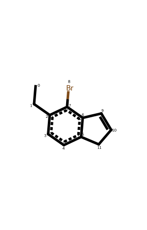 CCc1ccc2c(c1Br)C=CC2